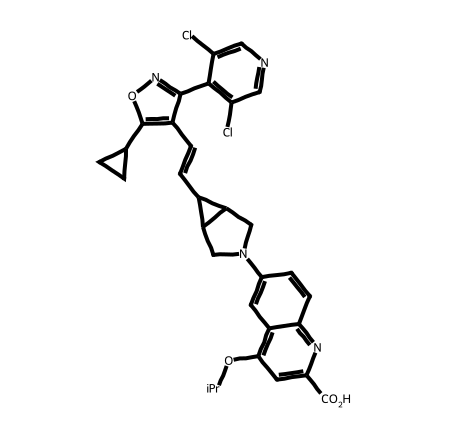 CC(C)Oc1cc(C(=O)O)nc2ccc(N3CC4C(C=Cc5c(-c6c(Cl)cncc6Cl)noc5C5CC5)C4C3)cc12